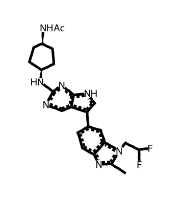 CC(=O)N[C@H]1CC[C@@H](Nc2ncc3c(-c4ccc5nc(C)n(CC(F)F)c5c4)c[nH]c3n2)CC1